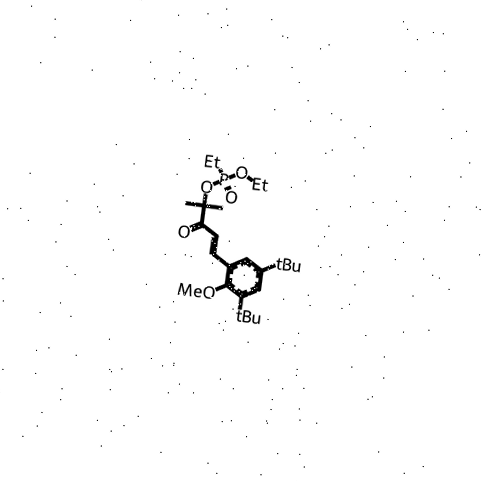 CCOP(=O)(CC)OC(C)(C)C(=O)C=Cc1cc(C(C)(C)C)cc(C(C)(C)C)c1OC